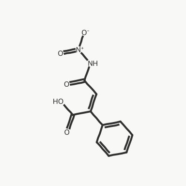 O=C(/C=C(\C(=O)O)c1ccccc1)N[N+](=O)[O-]